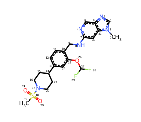 Cn1cnc2cnc(NCc3ccc(C4CCN(S(C)(=O)=O)CC4)cc3OC(F)F)cc21